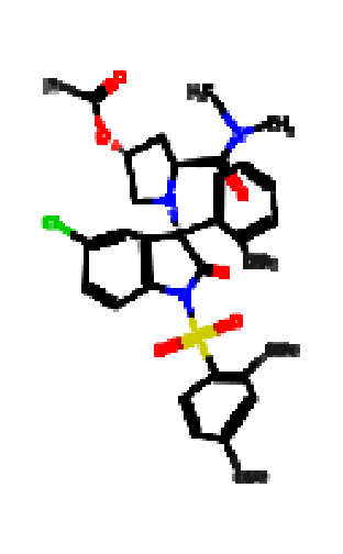 COc1ccc(S(=O)(=O)N2C(=O)[C@@](c3ccccc3OC)(N3C[C@H](OC(=O)C(C)C)C[C@H]3C(=O)N(C)C)c3cc(Cl)ccc32)c(OC)c1